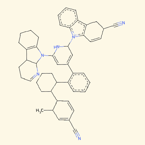 CC1C=C(C#N)C=CC1C1CCCCC1c1ccccc1C1=CC(n2c3c(c4ccccc42)CC(C#N)C=C3)NC(N2C3=C(CCCC3)C3CCC=NC32)=C1